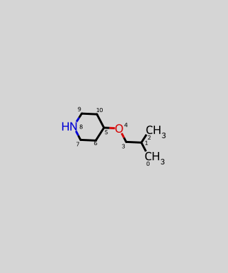 CC(C)COC1CCNCC1